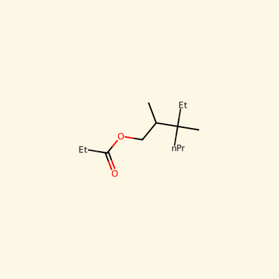 CCCC(C)(CC)C(C)COC(=O)CC